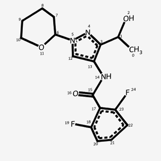 CC(O)c1nn(C2CCCCO2)cc1NC(=O)c1c(F)cccc1F